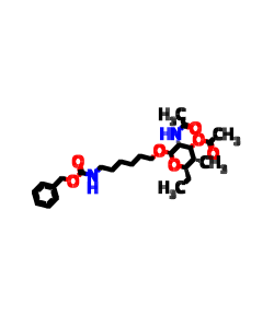 CC[C@H]1O[C@@H](OCCCCCCNC(=O)OCc2ccccc2)[C@H](NC(C)=O)[C@@H](OC(C)=O)[C@@H]1C